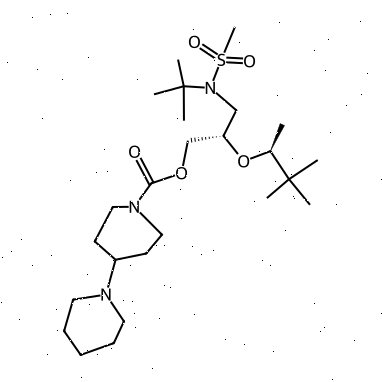 C[C@H](O[C@H](COC(=O)N1CCC(N2CCCCC2)CC1)CN(C(C)(C)C)S(C)(=O)=O)C(C)(C)C